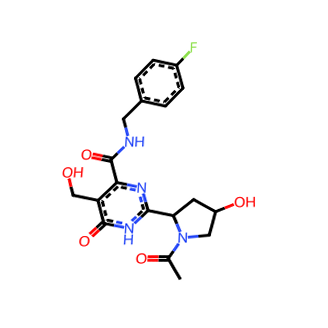 CC(=O)N1CC(O)CC1c1nc(C(=O)NCc2ccc(F)cc2)c(CO)c(=O)[nH]1